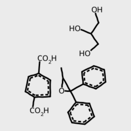 CC1OC1(c1ccccc1)c1ccccc1.O=C(O)c1ccc(C(=O)O)cc1.OCC(O)CO